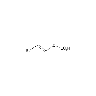 CCC=COC(=O)O